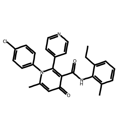 CCc1cccc(C)c1NC(=O)c1c(-c2ccncc2)n(-c2ccc(Cl)cc2)c(C)cc1=O